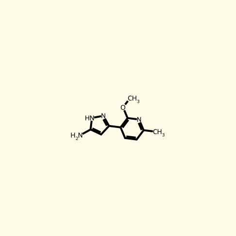 COc1nc(C)ccc1-c1cc(N)[nH]n1